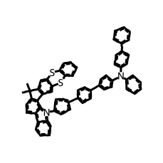 CC1(C)c2cc3c(cc2-c2c1ccc1c4ccccc4n(-c4ccc(-c5ccc(-c6ccc(N(c7ccccc7)c7ccc(-c8ccccc8)cc7)cc6)cc5)cc4)c21)Sc1ccccc1S3